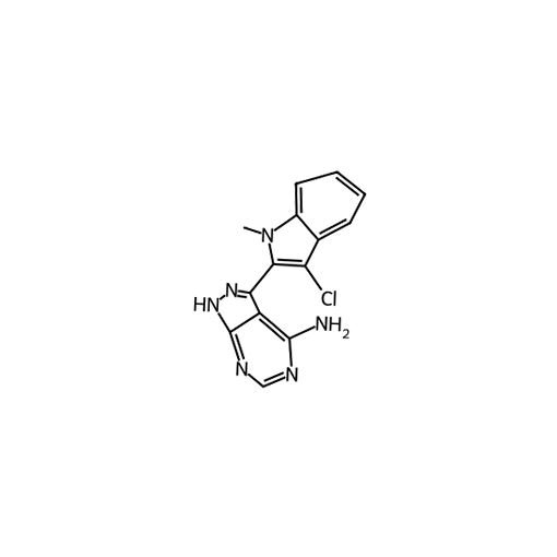 Cn1c(-c2n[nH]c3ncnc(N)c23)c(Cl)c2ccccc21